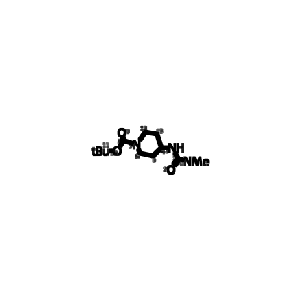 CNC(=O)NC1CCN(C(=O)OC(C)(C)C)CC1